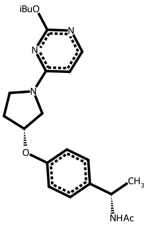 CC(=O)N[C@@H](C)c1ccc(O[C@@H]2CCN(c3ccnc(OCC(C)C)n3)C2)cc1